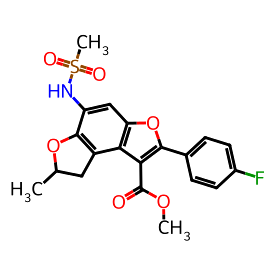 COC(=O)c1c(-c2ccc(F)cc2)oc2cc(NS(C)(=O)=O)c3c(c12)CC(C)O3